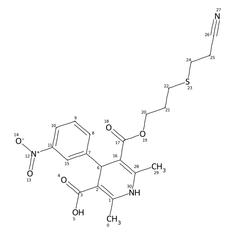 CC1=C(C(=O)O)C(c2cccc([N+](=O)[O-])c2)C(C(=O)OCCCSCCC#N)=C(C)N1